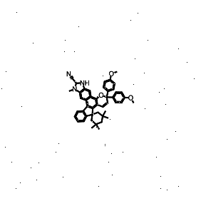 COc1ccc(C2(c3ccc(OC)cc3)C=Cc3c4c(c5cc6c(cc5c3O2)NC(C#N)N6C)-c2ccccc2C42CC(C)(C)CC(C)(C)C2)cc1